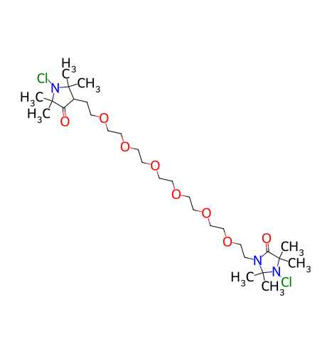 CC1(C)C(=O)C(CCOCCOCCOCCOCCOCCOCCN2C(=O)C(C)(C)N(Cl)C2(C)C)C(C)(C)N1Cl